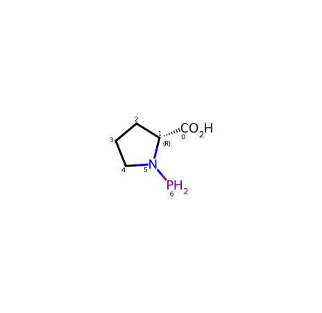 O=C(O)[C@H]1CCCN1P